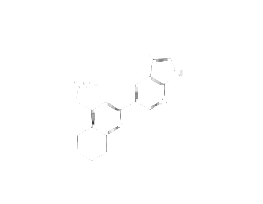 CNCc1cc(-c2cnc3[nH]cc(C)c3c2)cc2c1COCC2